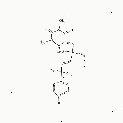 CN1C(=O)C(=CC(C)(C)C=CC(C)(C)c2ccc(O)cc2)C(=O)N(C)C1=O